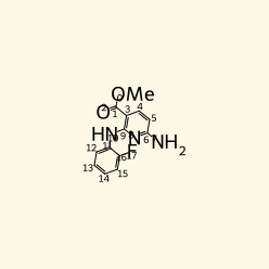 COC(=O)c1ccc(N)nc1Nc1ccccc1F